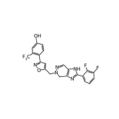 Oc1ccc(-c2cc(CN3Cc4nc(-c5cccc(F)c5F)[nH]c4C=N3)on2)c(C(F)(F)F)c1